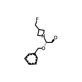 O=C[C@H](OCc1ccccc1)N1CC(CF)C1